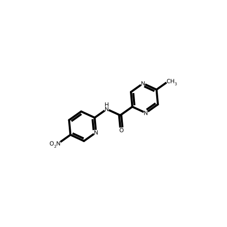 Cc1cnc(C(=O)Nc2ccc([N+](=O)[O-])cn2)cn1